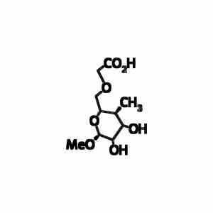 CO[C@H]1OC(COCC(=O)O)[C@@H](C)C(O)C1O